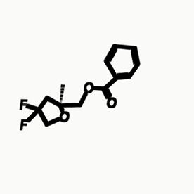 C[C@@]1(COC(=O)c2ccccc2)CC(F)(F)CO1